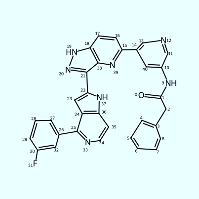 O=C(Cc1ccccc1)Nc1cncc(-c2ccc3[nH]nc(-c4cc5c(-c6cccc(F)c6)nccc5[nH]4)c3n2)c1